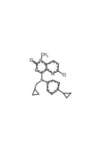 Cn1c(=O)nc(N(CC2CC2)c2ccc(C3CC3)cc2)c2nc(Cl)ccc21